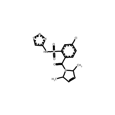 CC1C=CC(C)N1C(=O)c1ccc(Cl)cc1S(=O)(=O)Nc1csnn1